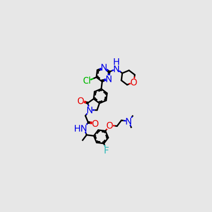 CC(NC(=O)CN1Cc2ccc(-c3nc(NC4CCOCC4)ncc3Cl)cc2C1=O)c1cc(F)cc(OCCN(C)C)c1